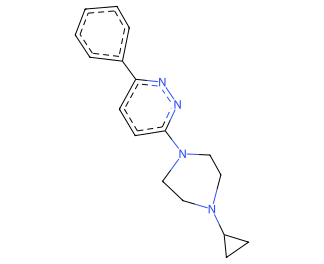 c1ccc(-c2ccc(N3CCN(C4CC4)CC3)nn2)cc1